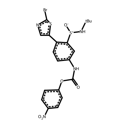 CC(C)(C)N[S+]([O-])c1cc(NC(=O)Oc2ccc([N+](=O)[O-])cc2)ccc1-c1cnc(Br)s1